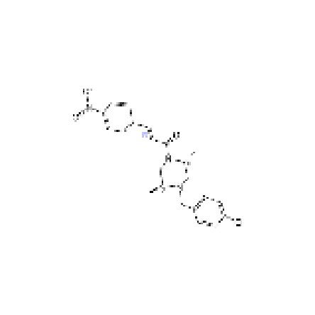 C[C@@H]1CN(Cc2ccc(Cl)cc2)[C@@H](C)CN1C(=O)/C=C/c1ccc([N+](=O)[O-])cc1